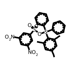 Cc1cc(C)c(S(OS(=O)(=O)c2cc([N+](=O)[O-])cc([N+](=O)[O-])c2)(c2ccccc2)c2ccccc2)c(C)c1